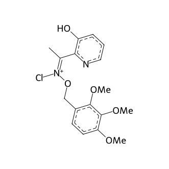 COc1ccc(CO[N+](Cl)=C(C)c2ncccc2O)c(OC)c1OC